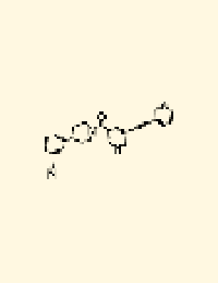 N#Cc1cccc(C2CCN(C(=O)c3cncc(C#Cc4ccccc4)c3)CC2)c1